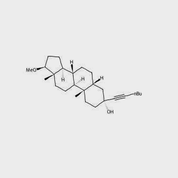 CCCCC#C[C@@]1(O)CC[C@@]2(C)[C@H](CC[C@@H]3[C@@H]2CC[C@]2(C)[C@@H](OC)CC[C@@H]32)C1